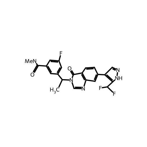 CNC(=O)c1cc(F)cc(C(C)n2cnc3cc(-c4cn[nH]c4C(F)F)ccc3c2=O)c1